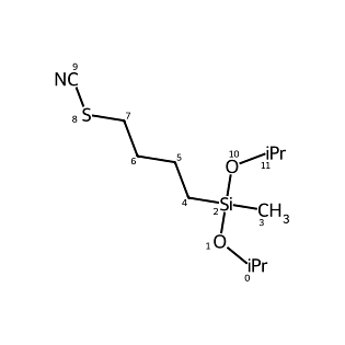 CC(C)O[Si](C)(CCCCSC#N)OC(C)C